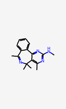 CNc1nc(C)c2c(n1)-c1ccccc1C(C)=NC2(C)C